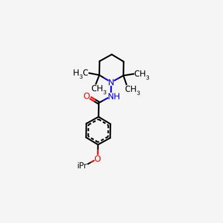 CC(C)Oc1ccc(C(=O)NN2C(C)(C)CCCC2(C)C)cc1